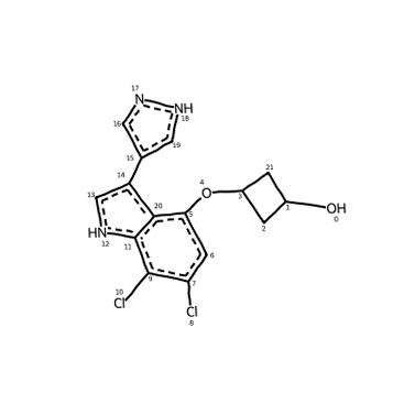 OC1CC(Oc2cc(Cl)c(Cl)c3[nH]cc(-c4cn[nH]c4)c23)C1